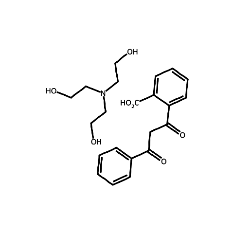 O=C(CC(=O)c1ccccc1C(=O)O)c1ccccc1.OCCN(CCO)CCO